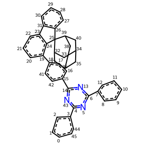 c1ccc(-c2nc(-c3ccccc3)nc(-c3ccc(-c4cccc5c4C4(c6ccccc6-5)C5CC6CC(C5)CC4C6)cc3)n2)cc1